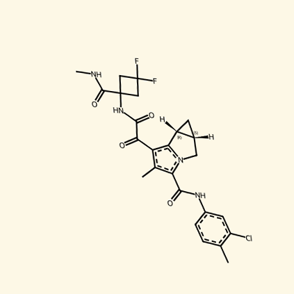 CNC(=O)C1(NC(=O)C(=O)c2c(C)c(C(=O)Nc3ccc(C)c(Cl)c3)n3c2[C@@H]2C[C@@H]2C3)CC(F)(F)C1